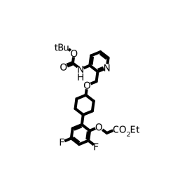 CCOC(=O)COc1c(F)cc(F)cc1C1CCC(OCc2ncccc2NC(=O)OC(C)(C)C)CC1